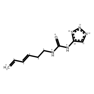 C=CC=CCCNC(=O)Nc1cnns1